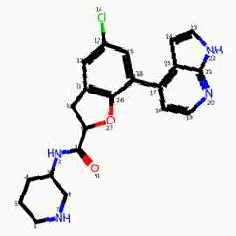 O=C(NC1CCCNC1)C1Cc2cc(Cl)cc(-c3ccnc4[nH]ccc34)c2O1